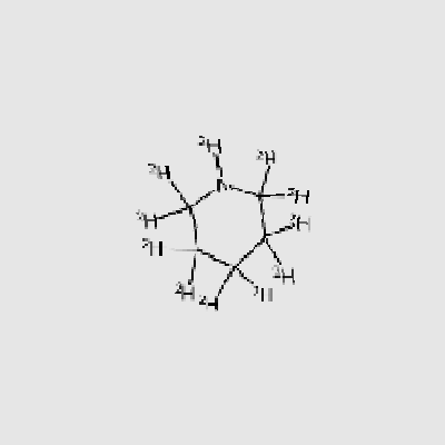 [2H]N1C([2H])([2H])C([2H])([2H])C([2H])([2H])C([2H])([2H])C1([2H])[2H]